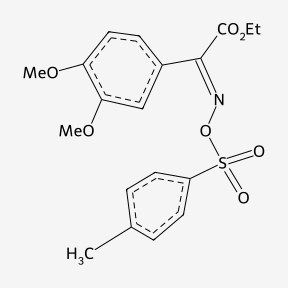 CCOC(=O)C(=NOS(=O)(=O)c1ccc(C)cc1)c1ccc(OC)c(OC)c1